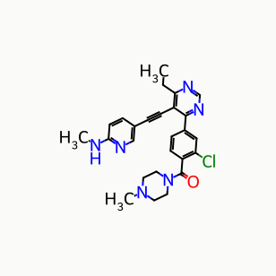 CCc1ncnc(-c2ccc(C(=O)N3CCN(C)CC3)c(Cl)c2)c1C#Cc1ccc(NC)nc1